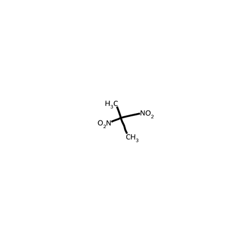 CC(C)([N+](=O)[O-])[N+](=O)[O-]